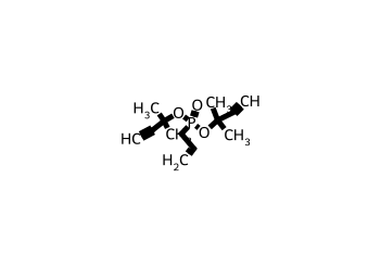 C#CC(C)(C)OP(=O)(CC=C)OC(C)(C)C#C